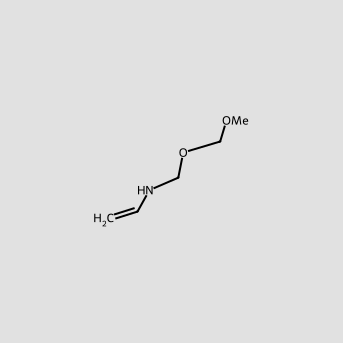 C=CNCOCOC